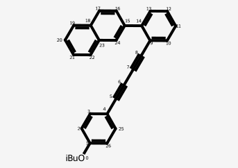 CC(C)COc1ccc(C#CC#Cc2ccccc2-c2ccc3ccccc3c2)cc1